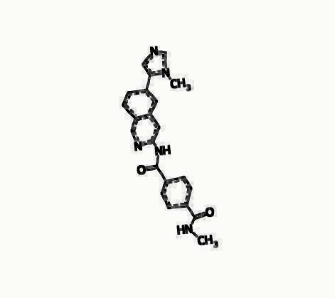 CNC(=O)c1ccc(C(=O)Nc2cc3cc(-c4cncn4C)ccc3cn2)cc1